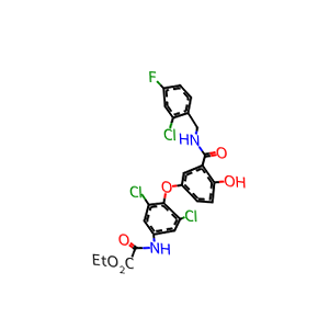 CCOC(=O)C(=O)Nc1cc(Cl)c(Oc2ccc(O)c(C(=O)NCc3ccc(F)cc3Cl)c2)c(Cl)c1